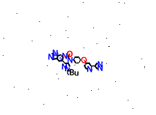 Cn1cc(-c2cc(OC3C=CC(N(C(N)=O)c4cn(C(C)(C)C)nc4-c4ccc5ncncc5c4)=CC3)ccn2)cn1